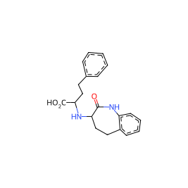 O=C(O)C(CCc1ccccc1)NC1CCc2ccccc2NC1=O